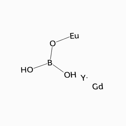 OB(O)[O][Eu].[Gd].[Y]